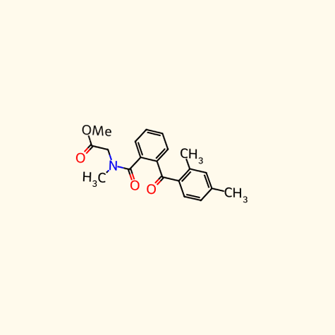 COC(=O)CN(C)C(=O)c1ccccc1C(=O)c1ccc(C)cc1C